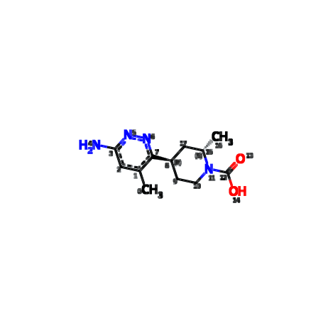 Cc1cc(N)nnc1[C@@H]1CCN(C(=O)O)[C@@H](C)C1